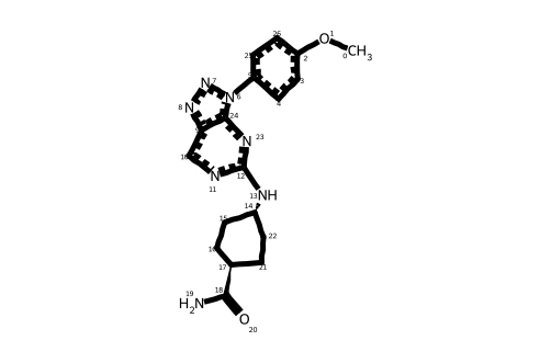 COc1ccc(-n2nnc3cnc(N[C@H]4CC[C@H](C(N)=O)CC4)nc32)cc1